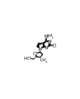 C[C@H]1C[C@H](n2ccc3c(N)nc(Cl)nc32)O[C@@H]1CO